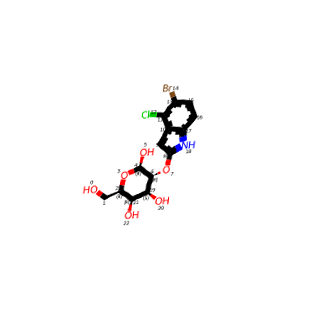 OC[C@H]1O[C@@H](O)[C@H](Oc2cc3c(Cl)c(Br)ccc3[nH]2)[C@@H](O)[C@H]1O